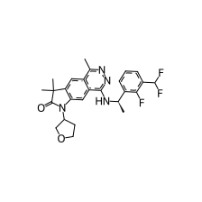 Cc1nnc(N[C@H](C)c2cccc(C(F)F)c2F)c2cc3c(cc12)C(C)(C)C(=O)N3C1CCOC1